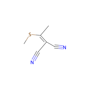 CSC(C)=C(C#N)C#N